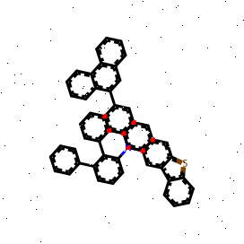 c1ccc(-c2ccccc2-c2c(-c3ccccc3)cccc2N(c2ccc(-c3cc4ccccc4c4ccccc34)cc2)c2ccc3sc4ccccc4c3c2)cc1